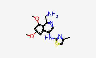 COc1cc(OC)c2c(CN)ncc(Nc3nc(C)cs3)c2c1